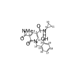 CNC(=O)c1cc(C(=O)NC2CC2)cn(Cc2ccccc2O)c1=O